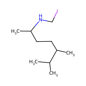 CC(CCC(C)C(C)C)NCI